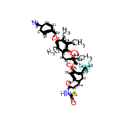 Cc1c(C)c2c(c(C)c1OCc1ccc(C#N)cc1)CCC(C)(COc1ccc(/C=C3/SC(=O)NC3=O)cc1C(F)(F)F)O2